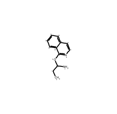 CCC(N)Oc1nccc2ccccc12